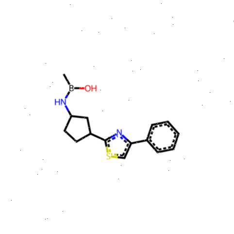 CB(O)NC1CCC(c2nc(-c3ccccc3)cs2)C1